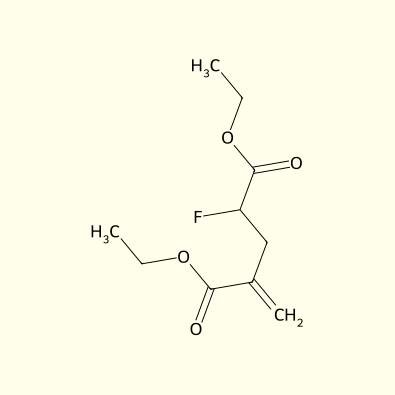 C=C(CC(F)C(=O)OCC)C(=O)OCC